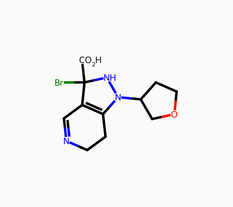 O=C(O)C1(Br)NN(C2CCOC2)C2=C1C=NCC2